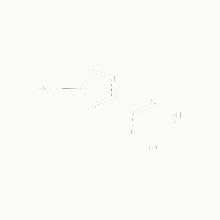 CC(C)CC(=NO)c1ccc(C(=O)O)s1